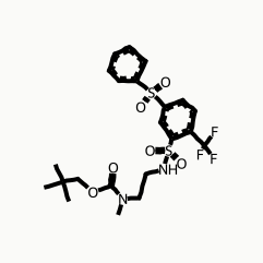 CN(CCNS(=O)(=O)c1cc(S(=O)(=O)c2ccccc2)ccc1C(F)(F)F)C(=O)OCC(C)(C)C